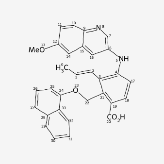 CC=Cc1c(Nc2cnc3ccc(OC)cc3c2)ccc(C(=O)O)c1COc1cccc2ccccc12